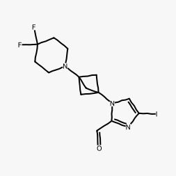 O=Cc1nc(I)cn1C12CC(N3CCC(F)(F)CC3)(C1)C2